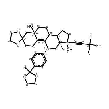 CC1(c2ccc([C@H]3C[C@@]4(C)C(CC[C@@]4(O)C#CC(F)(F)F)C4CC[C@@]5(O)CC6(CCC5=C43)OCCO6)cc2)OCCO1